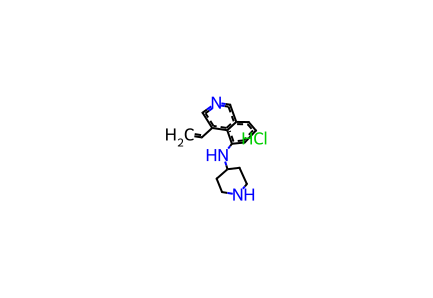 C=Cc1cncc2cccc(NC3CCNCC3)c12.Cl